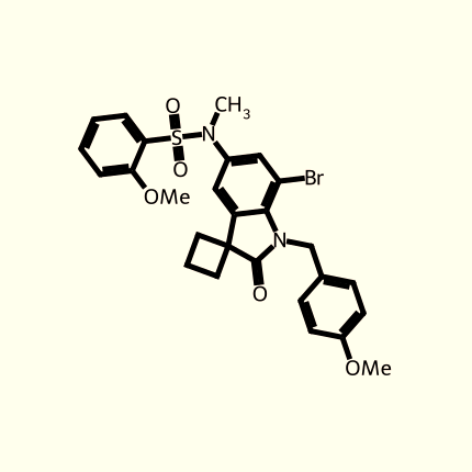 COc1ccc(CN2C(=O)C3(CCC3)c3cc(N(C)S(=O)(=O)c4ccccc4OC)cc(Br)c32)cc1